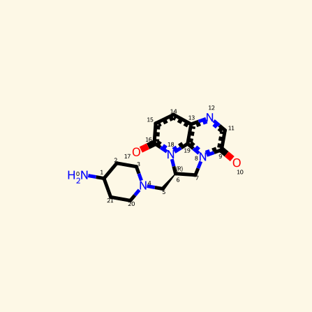 NC1CCN(C[C@@H]2Cn3c(=O)cnc4ccc(=O)n2c43)CC1